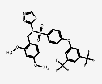 COc1ccc(CN(c2nncs2)S(=O)(=O)c2ccc(Oc3cc(C(F)(F)F)cc(C(F)(F)F)c3)cc2)c(OC)c1